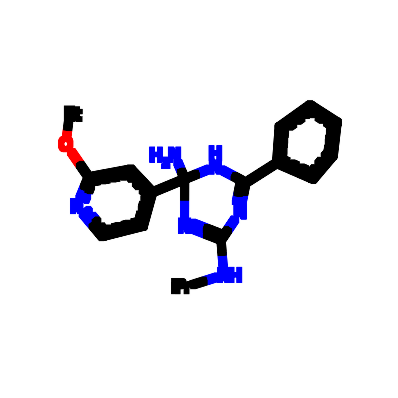 CCOc1cc(C2(N)N=C(NC(C)C)N=C(c3ccccc3)N2)ccn1